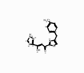 Cc1ccc(Cc2csc(C(=O)C=C(O)c3nc[nH]n3)n2)cc1